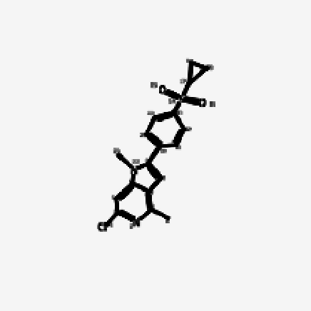 Cc1nc(Cl)cc2c1cc(-c1ccc(S(=O)(=O)C3CC3)cc1)n2C